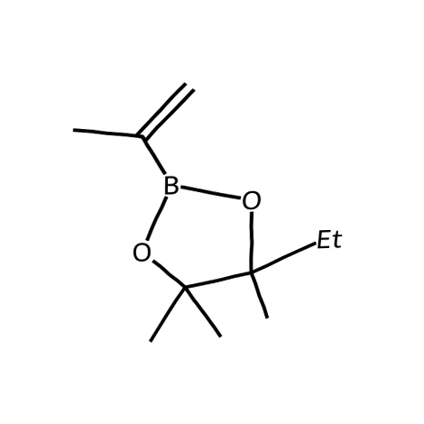 C=C(C)B1OC(C)(C)C(C)(CC)O1